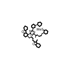 C=c1/c(=C\C=C/Cc2ccc3oc4ccccc4c3c2-c2nc(/C(C)=C/C=C\Cc3ccccc3SC)nc(-c3cccc(-c4ccccc4)c3)n2)oc2ccccc12